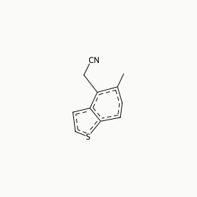 Cc1ccc2sccc2c1CC#N